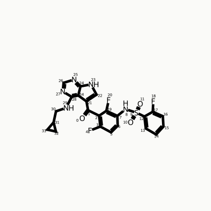 O=C(c1c(F)ccc(NS(=O)(=O)c2ccccc2F)c1F)c1c[nH]c2ncnc(NCC3CC3)c12